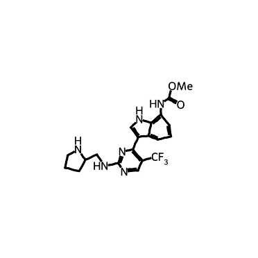 COC(=O)Nc1cccc2c(-c3nc(NCC4CCCN4)ncc3C(F)(F)F)c[nH]c12